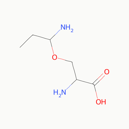 CCC(N)OCC(N)C(=O)O